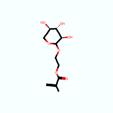 C=C(C)C(=O)OCCOC1OC[C@@H](O)[C@H](O)[C@H]1O